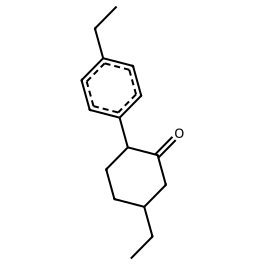 CCc1ccc(C2CCC(CC)CC2=O)cc1